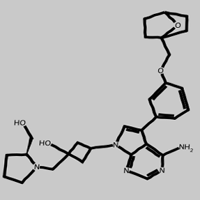 Nc1ncnc2c1c(-c1cccc(OCC34CCC(CC3)O4)c1)cn2C1CC(O)(CN2CCC[C@H]2CO)C1